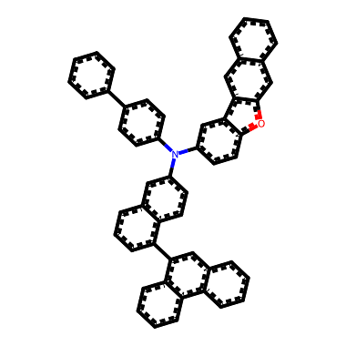 c1ccc(-c2ccc(N(c3ccc4c(-c5cc6ccccc6c6ccccc56)cccc4c3)c3ccc4oc5cc6ccccc6cc5c4c3)cc2)cc1